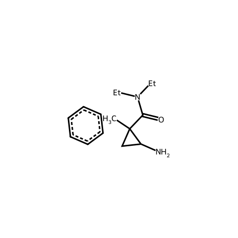 CCN(CC)C(=O)C1(C)CC1N.c1ccccc1